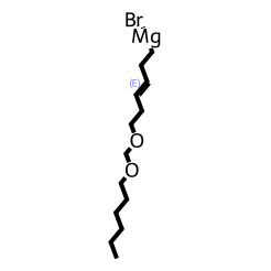 CCCCCCOCOCC/C=C/C[CH2][Mg][Br]